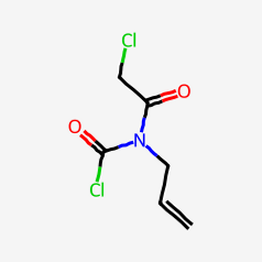 C=CCN(C(=O)Cl)C(=O)CCl